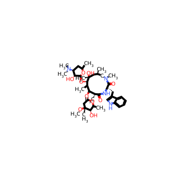 CO[C@]1(C)C[C@H](OC2C(C)[C@@H](OC3OC(C)C[C@H](N(C)C)[C@H]3O)[C@](C)(O)C[C@@H](C)CN(C)C(=O)[C@H](Cc3c[nH]c4ccccc34)NC(=O)[C@@H]2C)OC(C)[C@@H]1O